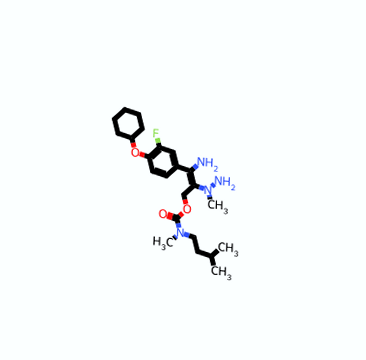 CC(C)CCN(C)C(=O)OC/C(=C(/N)c1ccc(OC2CCCCC2)c(F)c1)N(C)N